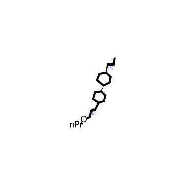 C/C=C/[C@H]1CC[C@H](C2CCC(/C=C/COCCC)CC2)CC1